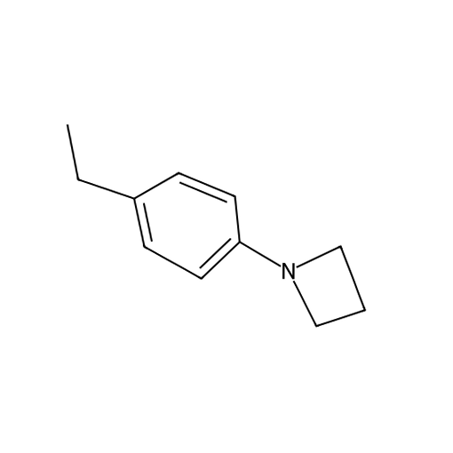 CCc1ccc(N2CCC2)cc1